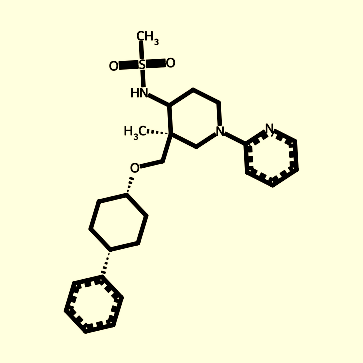 C[C@@]1(CO[C@H]2CC[C@@H](c3ccccc3)CC2)CN(c2ccccn2)CCC1NS(C)(=O)=O